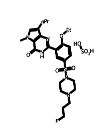 CCCc1cn(C)c2c(=O)[nH]c(-c3cc(S(=O)(=O)N4CCN(CCCF)CC4)ccc3OCC)nc12.O=S(=O)(O)O